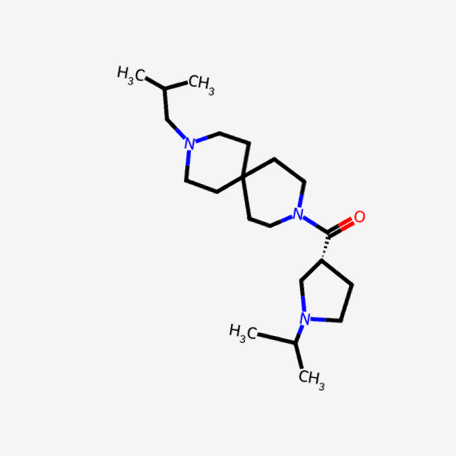 CC(C)CN1CCC2(CC1)CCN(C(=O)[C@@H]1CCN(C(C)C)C1)CC2